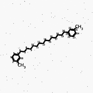 Cc1cccc(CCCCCCCCCCCCCCCc2cccc(C)c2)c1